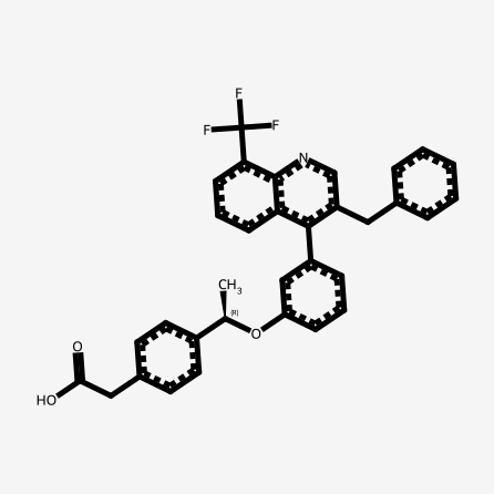 C[C@@H](Oc1cccc(-c2c(Cc3ccccc3)cnc3c(C(F)(F)F)cccc23)c1)c1ccc(CC(=O)O)cc1